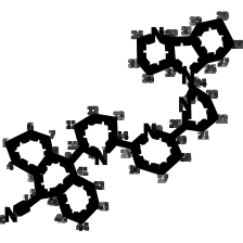 N#Cc1c2ccccc2c(-c2cccc(-c3cccc(-c4cccc(-n5c6ccccc6c6ncccc65)n4)n3)n2)c2ccccc12